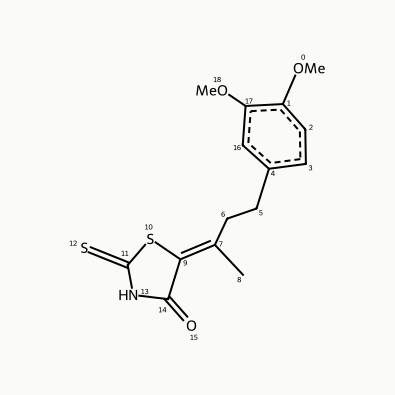 COc1ccc(CC/C(C)=C2\SC(=S)NC2=O)cc1OC